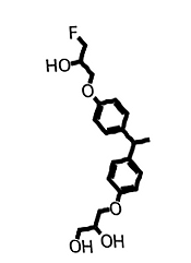 CC(c1ccc(OCC(O)CO)cc1)c1ccc(OCC(O)CF)cc1